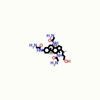 C[C@H](CCCO)C1CC[C@H]2C3C(NC(=O)CN)CC4CC(NC(=O)CN)CCC4(C)[C@H]3CC(NC(=O)CN)C12C